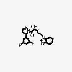 C=C(CCCn1cnc2ccccc21)C(=O)N1N=CCC1c1cc(F)cc(F)c1